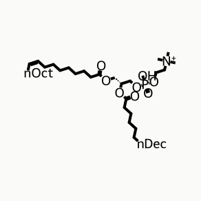 CCCCCCCC/C=C\CCCCCCCC(=O)OC[C@H](COP(=O)(O)OCC[N+](C)(C)C)OC(=O)CCCCCCCCCCCCCCC